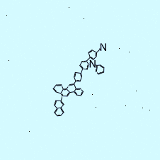 N#Cc1ccc2c3ccc(-c4ccc(-c5cc6c7ccccc7c(-c7ccc8ccccc8c7)cc6c6ccccc56)cc4)cc3n(-c3ccccc3)c2c1